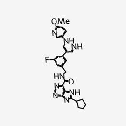 COc1ccc(N/C=C(\C=N)c2cc(F)cc(CNC(=O)c3ncnc4nc(C5CCCC5)[nH]c34)c2)cn1